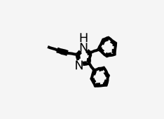 CC#Cc1nc(-c2ccccc2)c(-c2ccccc2)[nH]1